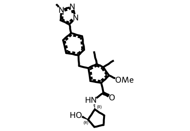 COc1c(C(=O)N[C@@H]2CCC[C@H]2O)cc(Cc2ccc(-c3cn(C)nn3)cc2)c(C)c1C